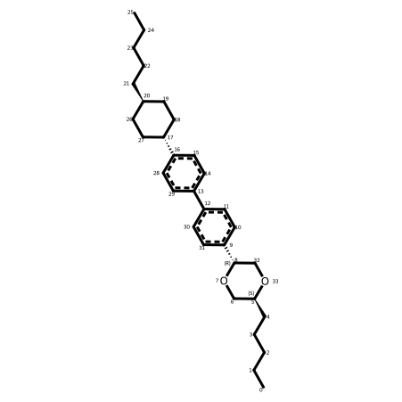 CCCCC[C@H]1CO[C@H](c2ccc(-c3ccc([C@H]4CC[C@H](CCCCC)CC4)cc3)cc2)CO1